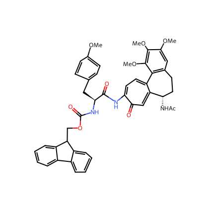 COc1ccc(C[C@H](NC(=O)OCC2c3ccccc3-c3ccccc32)C(=O)Nc2ccc3c(cc2=O)[C@@H](NC(C)=O)CCc2cc(OC)c(OC)c(OC)c2-3)cc1